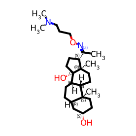 C/C(=N/OCCCN(C)C)[C@H]1CC[C@]2(O)[C@@H]3CC[C@@H]4C[C@@H](O)CC[C@]4(C)[C@H]3CC[C@]12C